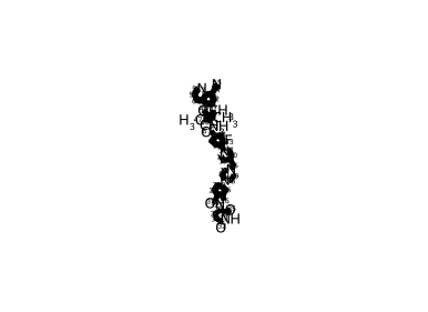 CC1(C)C(NC(=O)c2ccc(N3CCC(CN4CCN(c5ccc6c(c5)CN(C5CCC(=O)NC5=O)C6=O)CC4)CC3)c(F)c2)C(C)(C)C1Oc1ccc(C#N)c2ncccc12